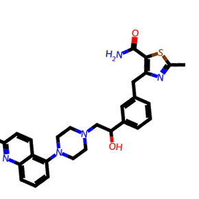 Cc1ccc2c(N3CCN(CC(O)c4cccc(Cc5nc(C)sc5C(N)=O)c4)CC3)cccc2n1